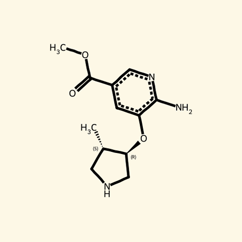 COC(=O)c1cnc(N)c(O[C@H]2CNC[C@@H]2C)c1